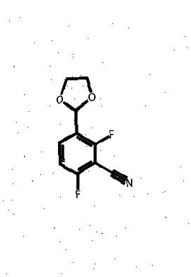 N#Cc1c(F)ccc(C2OCCO2)c1F